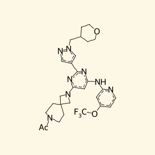 CC(=O)N1CCC2(CC1)CN(c1cc(Nc3cc(OC(F)(F)F)ccn3)nc(-c3cnn(CC4CCOCC4)c3)n1)C2